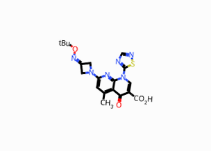 Cc1cc(N2CC(=NOC(C)(C)C)C2)nc2c1c(=O)c(C(=O)O)cn2-c1ncns1